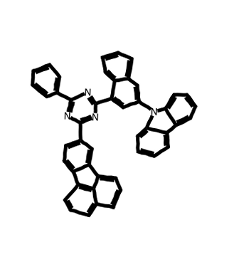 c1ccc(-c2nc(-c3ccc4c(c3)-c3cccc5cccc-4c35)nc(-c3cc(-n4c5ccccc5c5ccccc54)cc4ccccc34)n2)cc1